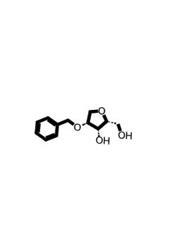 OC[C@H]1OC[C@@H](OCc2ccccc2)[C@H]1O